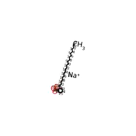 CCCCCCCCCCCCCCCCCCCCCCc1ccccc1S(=O)(=O)[O-].[Na+]